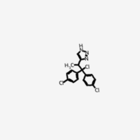 CC(c1c[nH]nn1)C(Cl)(c1ccc(Cl)cc1)c1ccc(Cl)cc1